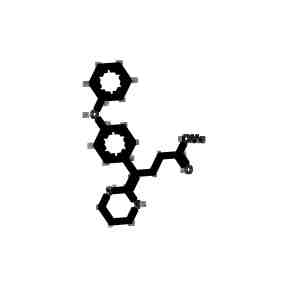 COC(=O)CCC(=C1SCCCS1)c1ccc(Oc2ccccc2)cc1